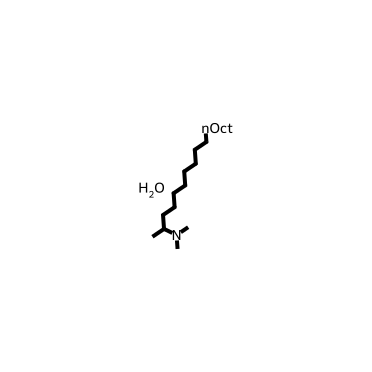 CCCCCCCCCCCCCCCCC(C)N(C)C.O